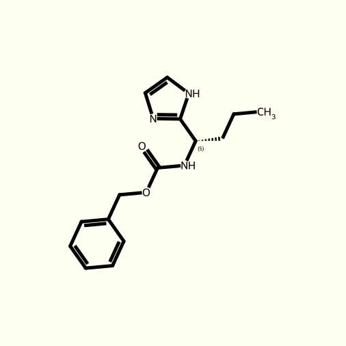 CCC[C@H](NC(=O)OCc1ccccc1)c1ncc[nH]1